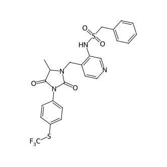 CC1C(=O)N(c2ccc(SC(F)(F)F)cc2)C(=O)N1Cc1ccncc1NS(=O)(=O)Cc1ccccc1